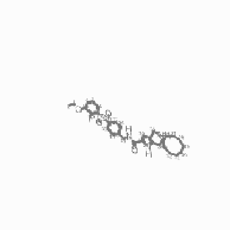 CCOc1cccc(S(=O)(=O)c2ccc(CNC(=O)c3cc4c([nH]3)CC3(CCCCCCCC3)NC4)cc2)c1F